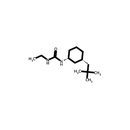 CCNC(=O)N[C@@H]1CCC[C@H](CC(C)(C)C)C1